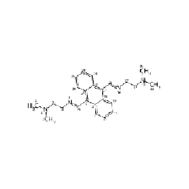 CN(C)CCN=Cc1c2ccccc2c(C=NCCN(C)C)c2ccccc12